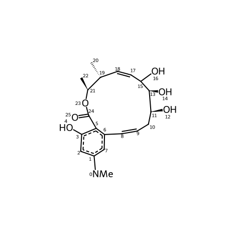 CNc1cc(O)c2c(c1)/C=C/C[C@H](O)[C@H](O)C(O)/C=C\[C@@H](C)[C@H](C)OC2=O